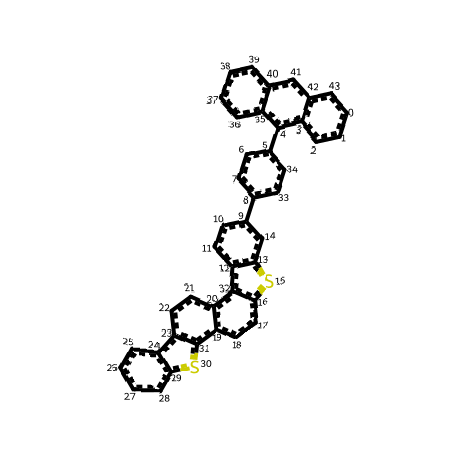 c1ccc2c(-c3ccc(-c4ccc5c(c4)sc4ccc6c(ccc7c8ccccc8sc76)c45)cc3)c3ccccc3cc2c1